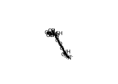 C[C@@H](C(=O)O)N(C)C(=O)[C@H](CS)NC(=O)CCOCCOCCOCCNC(=O)CN=[N+]=[N-]